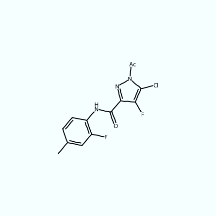 CC(=O)n1nc(C(=O)Nc2ccc(C)cc2F)c(F)c1Cl